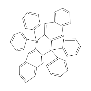 c1ccc([Si]2(c3ccccc3)c3cc4ccccc4cc3[Si](c3ccccc3)(c3ccccc3)c3cc4ccccc4cc32)cc1